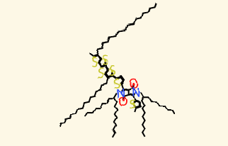 CCCCCCCCCCCCCCCCCc1c(C)sc2c1sc1c3sc(-c4ccc(C5=C6C(=O)N(CC(CCCCCCCC)CCCCCCCCCC)C(c7ccc(C)s7)=C6C(=O)N5CC(CCCCCCCC)CCCCCCCCCC)s4)c(CCCCCCCCCCCCCCCCC)c3sc21